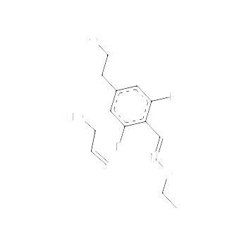 C=CCO.CCON=Cc1c(F)cc(CCO)cc1F